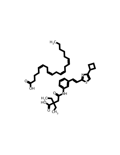 CCC(CC)(CC(=O)Nc1cccc(/C=C/c2nc(C3CCC3)cs2)c1)C(=O)O.CCCCC/C=C\C/C=C\C/C=C\C/C=C\CCCC(=O)O